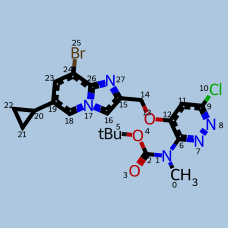 CN(C(=O)OC(C)(C)C)c1nnc(Cl)cc1OCc1cn2cc(C3CC3)cc(Br)c2n1